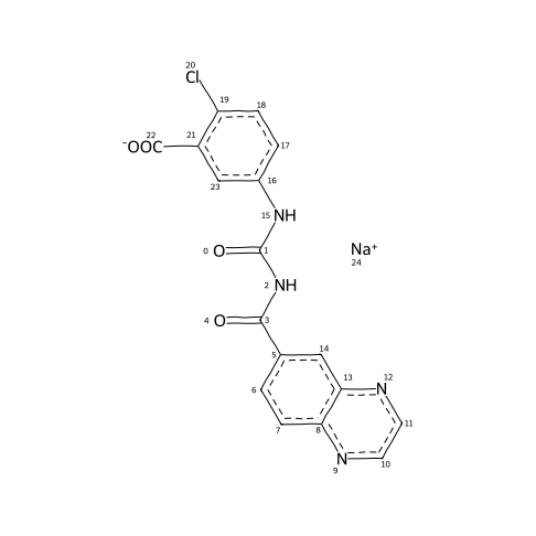 O=C(NC(=O)c1ccc2nccnc2c1)Nc1ccc(Cl)c(C(=O)[O-])c1.[Na+]